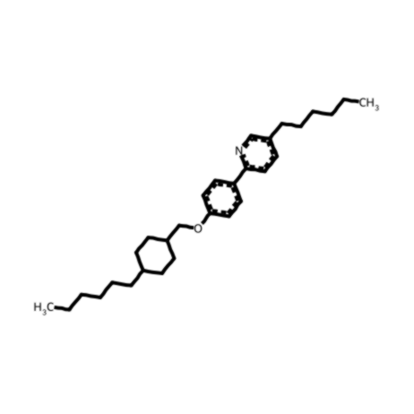 CCCCCCc1ccc(-c2ccc(OCC3CCC(CCCCCC)CC3)cc2)nc1